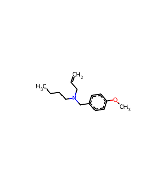 C=CCN(CCCC)Cc1ccc(OC)cc1